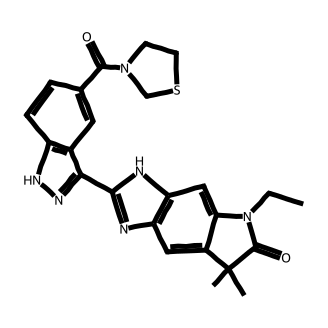 CCN1C(=O)C(C)(C)c2cc3nc(-c4n[nH]c5ccc(C(=O)N6CCSC6)cc45)[nH]c3cc21